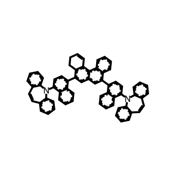 C1=Cc2c(c(-c3ccc(N4c5ccccc5C=Cc5ccccc54)c4ccccc34)cc3cc(-c4ccc(N5c6ccccc6C=Cc6ccccc65)c5ccccc45)c4ccccc4c23)CC1